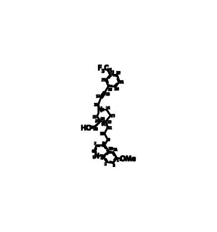 COc1ccc2nccc(CCC[C@@H]3CCN(CC#Cc4cccc(C(F)(F)F)c4)C[C@@H]3CO)c2c1